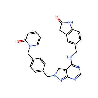 O=C1Cc2cc(CNc3ncnc4nn(Cc5ccc(Cn6ccccc6=O)cc5)cc34)ccc2N1